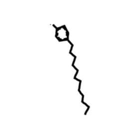 [CH2]c1ccc(CCCCCCCCCCCC)cc1